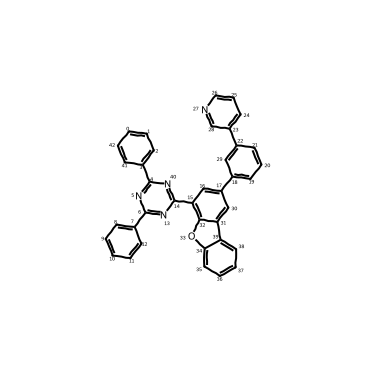 c1ccc(-c2nc(-c3ccccc3)nc(-c3cc(-c4cccc(-c5cccnc5)c4)cc4c3oc3ccccc34)n2)cc1